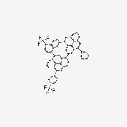 FC(F)(F)c1ccc(-c2cc3ccc(-c4cc5c(-c6ccccc6)cc6cccc7cc(-c8ccccc8)c(c4)c5c67)c4cc(-c5ccc(C(F)(F)F)cc5)c5cccc2c5c34)cc1